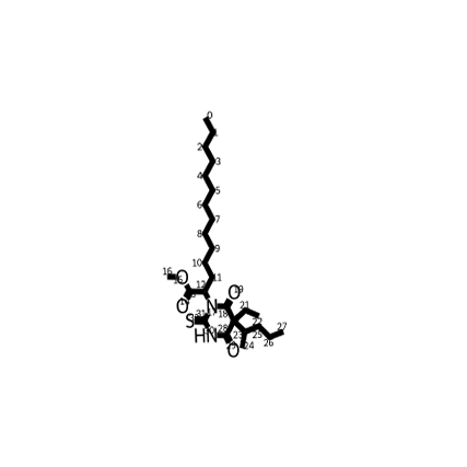 CCCCCCCCCCCCC(C(=O)OC)N1C(=O)C(CC)(C(C)CCC)C(=O)NC1=S